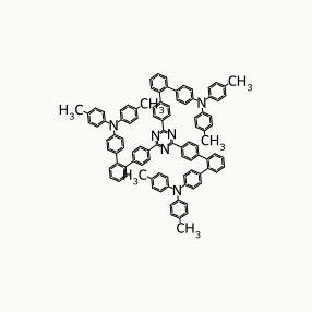 Cc1ccc(N(c2ccc(C)cc2)c2ccc(-c3ccccc3-c3ccc(-c4nc(-c5ccc(-c6ccccc6-c6ccc(N(c7ccc(C)cc7)c7ccc(C)cc7)cc6)cc5)nc(-c5ccc(-c6ccccc6-c6ccc(N(c7ccc(C)cc7)c7ccc(C)cc7)cc6)cc5)n4)cc3)cc2)cc1